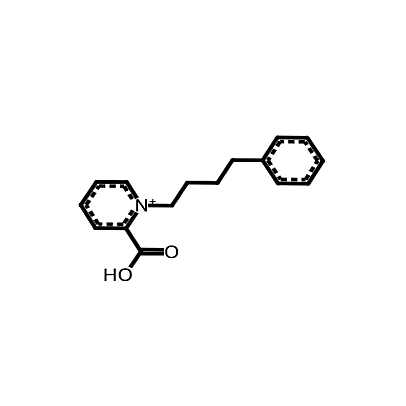 O=C(O)c1cccc[n+]1CCCCc1ccccc1